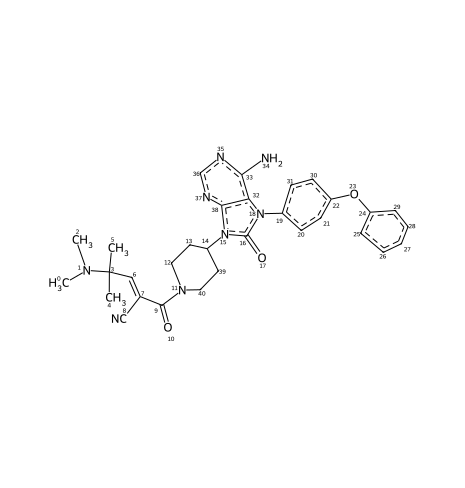 CN(C)C(C)(C)C=C(C#N)C(=O)N1CCC(n2c(=O)n(-c3ccc(Oc4ccccc4)cc3)c3c(N)ncnc32)CC1